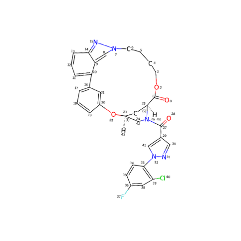 O=C1OCCCCn2cc3c(cccc3n2)-c2cccc(c2)O[C@H]2C[C@@H]1N(C(=O)c1cnn(-c3ccc(F)cc3Cl)c1)C2